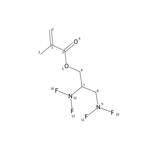 C=C(C)C(=O)OCC(CN(F)F)N(F)F